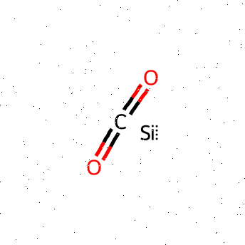 O=C=O.[Si]